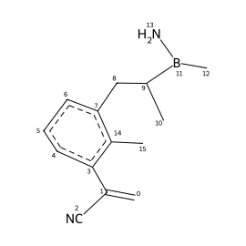 C=C(C#N)c1cccc(CC(C)B(C)N)c1C